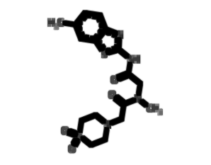 Cc1ccc2nc(NC(=O)CN(C)C(=O)CN3CCS(=O)(=O)CC3)sc2c1